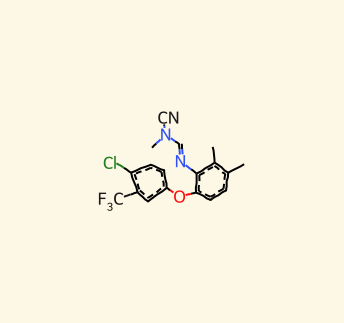 Cc1ccc(Oc2ccc(Cl)c(C(F)(F)F)c2)c(N=CN(C)C#N)c1C